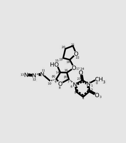 Cn1c(=O)ccn([C@@H]2O[C@H](CN=[N+]=[N-])C(O)C2OC2CCCO2)c1=O